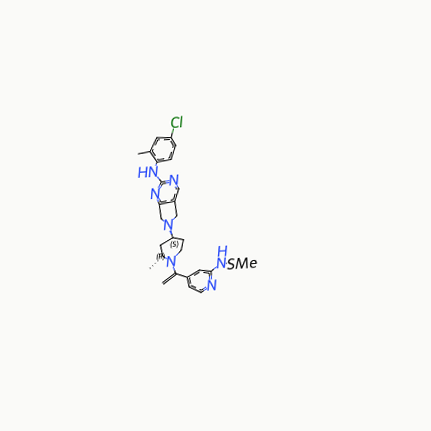 C=C(c1ccnc(NSC)c1)N1CC[C@H](N2Cc3cnc(Nc4ccc(Cl)cc4C)nc3C2)C[C@H]1C